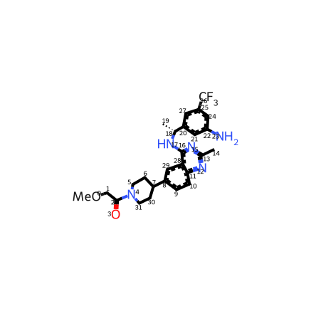 COCC(=O)N1CCC(c2ccc3nc(C)nc(N[C@H](C)c4cc(N)cc(C(F)(F)F)c4)c3c2)CC1